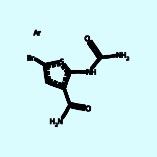 NC(=O)Nc1sc(Br)cc1C(N)=O.[Ar]